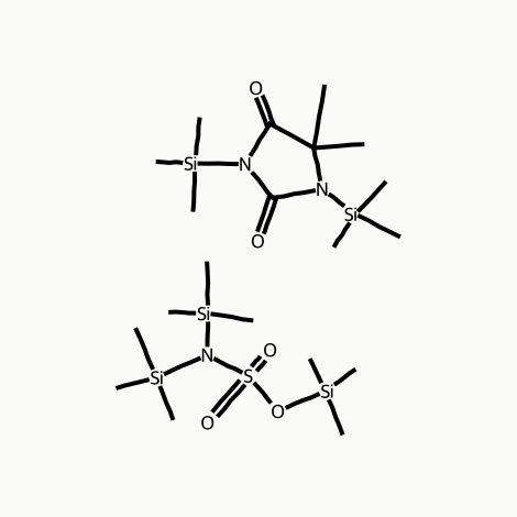 CC1(C)C(=O)N([Si](C)(C)C)C(=O)N1[Si](C)(C)C.C[Si](C)(C)OS(=O)(=O)N([Si](C)(C)C)[Si](C)(C)C